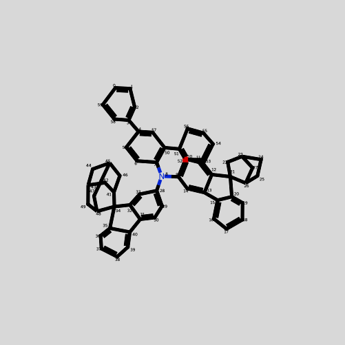 c1ccc(-c2ccc(N(c3ccc4c(c3)-c3ccccc3C43CC4CCC3C4)c3ccc4c(c3)C3(c5ccccc5-4)C4CC5CC(C4)CC3C5)c(-c3ccccc3)c2)cc1